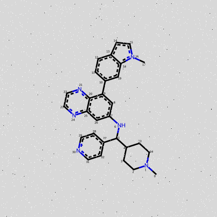 CN1CCC(C(Nc2cc(-c3ccc4ccn(C)c4c3)c3nccnc3c2)c2ccncc2)CC1